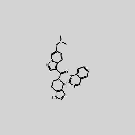 CN(C)Cc1ccc2c(C(=O)N3CCc4[nH]cnc4[C@H]3c3ncc4ccccc4n3)cnn2c1